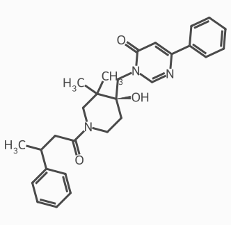 CC(CC(=O)N1CC[C@@](O)(Cn2cnc(-c3ccccc3)cc2=O)C(C)(C)C1)c1ccccc1